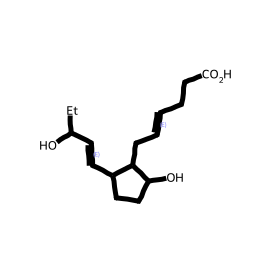 CCC(O)/C=C/C1CCC(O)C1C/C=C/CCC(=O)O